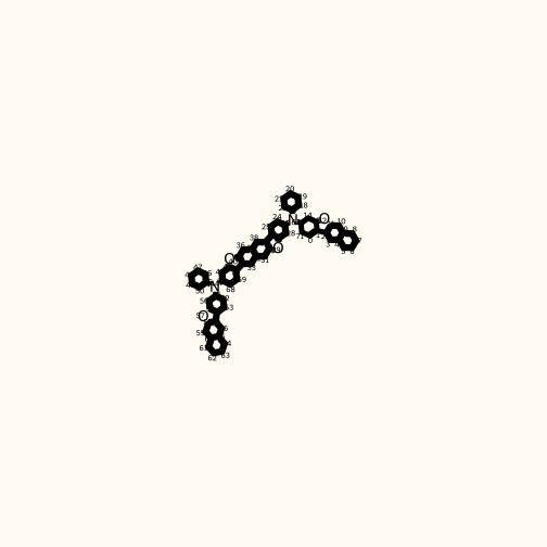 C1=C2c3cc4ccccc4cc3OC2CC(N(c2ccccc2)c2ccc3c(c2)oc2cc4cc5c(cc4cc23)oc2cc(N(c3ccccc3)c3ccc4c(c3)oc3cc6ccccc6cc34)ccc25)C1